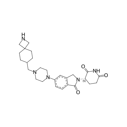 O=C1CC[C@H](N2Cc3cc(N4CCN(CC5CCC6(CC5)CNC6)CC4)ccc3C2=O)C(=O)N1